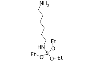 CCO[Si](NCCCCCCN)(OCC)OCC